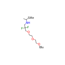 CSC(C)NCC(F)(F)COCCOCCOC(C)(C)C